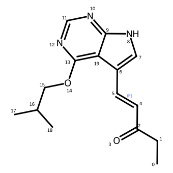 CCC(=O)/C=C/c1c[nH]c2ncnc(OCC(C)C)c12